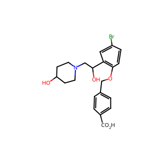 O=C(O)c1ccc(COc2ccc(Br)cc2C(O)CN2CCC(O)CC2)cc1